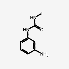 Nc1cccc(NC(=O)NI)c1